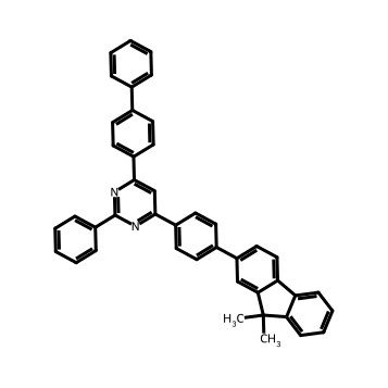 CC1(C)c2ccccc2-c2ccc(-c3ccc(-c4cc(-c5ccc(-c6ccccc6)cc5)nc(-c5ccccc5)n4)cc3)cc21